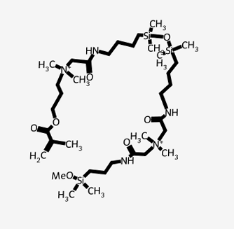 C=C(C)C(=O)OCCC[N+](C)(C)CC(=O)NCCCC[Si](C)(C)O[Si](C)(C)CCCCNC(=O)C[N+](C)(C)CC(=O)NCCC[Si](C)(C)OC